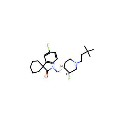 CC(C)(C)CCN1CC[C@@H](CNC(=O)C2(c3cccc(F)c3)CCCCC2)[C@@H](F)C1